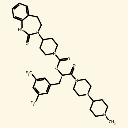 CN1CCC(N2CCN(C(=O)[C@@H](Cc3cc(C(F)(F)F)cc(C(F)(F)F)c3)OC(=O)N3CCC(N4CCc5ccccc5NC4=O)CC3)CC2)CC1